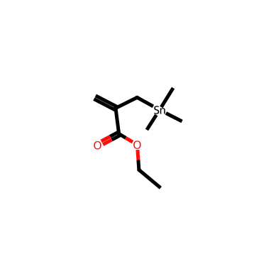 C=C([CH2][Sn]([CH3])([CH3])[CH3])C(=O)OCC